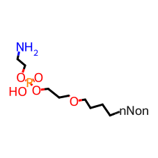 CCCCCCCCCCCCCOCCCOP(=O)(O)OCCN